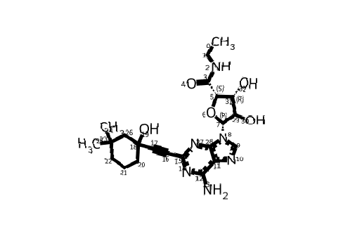 CCNC(=O)[C@H]1O[C@@H](n2cnc3c(N)nc(C#CC4(O)CCCC(C)(C)C4)nc32)C(O)[C@H]1O